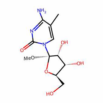 CO[C@@]1(n2cc(C)c(N)nc2=O)O[C@H](CO)[C@@H](O)[C@H]1O